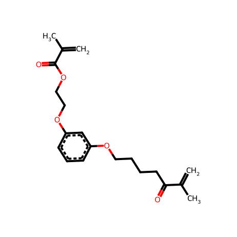 C=C(C)C(=O)CCCCOc1cccc(OCCOC(=O)C(=C)C)c1